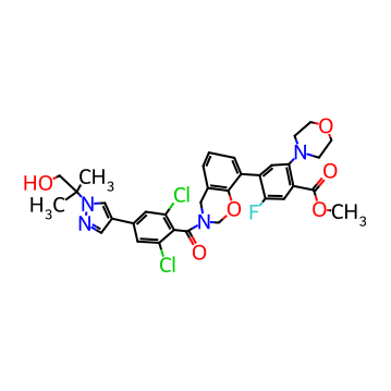 COC(=O)c1cc(F)c(-c2cccc3c2OCN(C(=O)c2c(Cl)cc(-c4cnn(C(C)(C)CO)c4)cc2Cl)C3)cc1N1CCOCC1